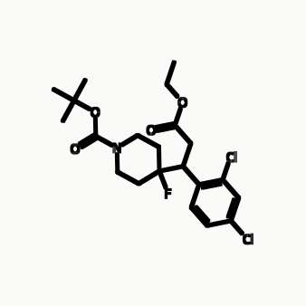 CCOC(=O)CC(c1ccc(Cl)cc1Cl)C1(F)CCN(C(=O)OC(C)(C)C)CC1